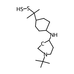 CC(C)(SS)C1CCC(NC2CCN(C(C)(C)C)CC2)CC1